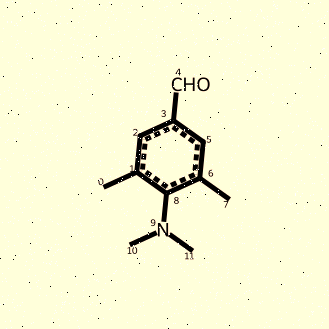 Cc1cc(C=O)cc(C)c1N(C)C